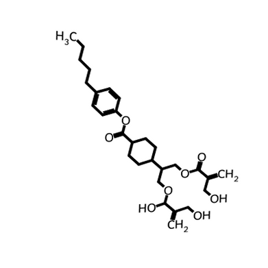 C=C(CO)C(=O)OCC(COC(O)C(=C)CO)C1CCC(C(=O)Oc2ccc(CCCCC)cc2)CC1